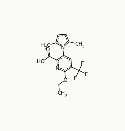 CCOc1nc(C(=O)O)c(-n2c(C)ccc2C)cc1C(F)(F)F